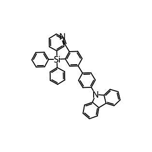 N#Cc1ccc(-c2ccc(-n3c4ccccc4c4ccccc43)cc2)cc1[Si](c1ccccc1)(c1ccccc1)c1ccccc1